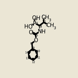 CC(C)[C@H](NC(=O)OCc1ccccc1)P(O)O